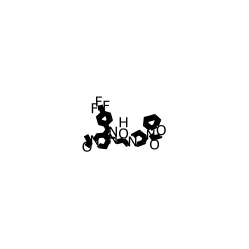 CC(=O)N1CCc2c(c(-c3ccc(C(F)(F)F)cc3)nn2CC(O)CN2CCC(N3C(=O)COc4ccccc43)CC2)C1